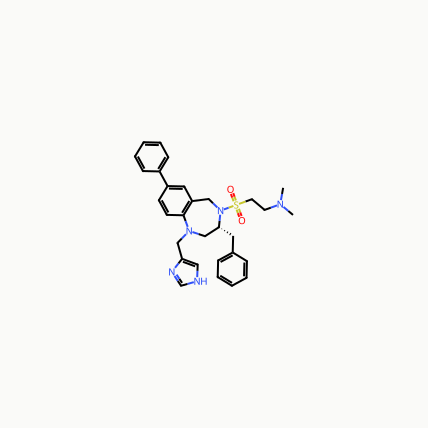 CN(C)CCS(=O)(=O)N1Cc2cc(-c3ccccc3)ccc2N(Cc2c[nH]cn2)C[C@H]1Cc1ccccc1